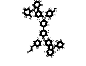 C/C=C/c1ccc(N(c2ccc(-c3ccc(N(c4ccc(F)cc4)c4ccc5c(c4)c4ccccc4n5C4C=CC=CC4C)cc3)cc2)c2ccc3c(c2)c2ccccc2n3-c2ccccc2)cc1